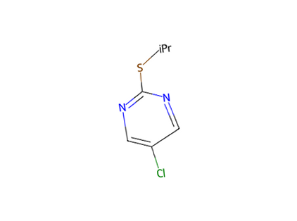 CC(C)Sc1ncc(Cl)cn1